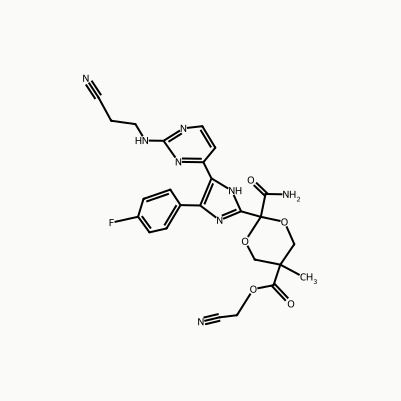 CC1(C(=O)OCC#N)COC(C(N)=O)(c2nc(-c3ccc(F)cc3)c(-c3ccnc(NCCC#N)n3)[nH]2)OC1